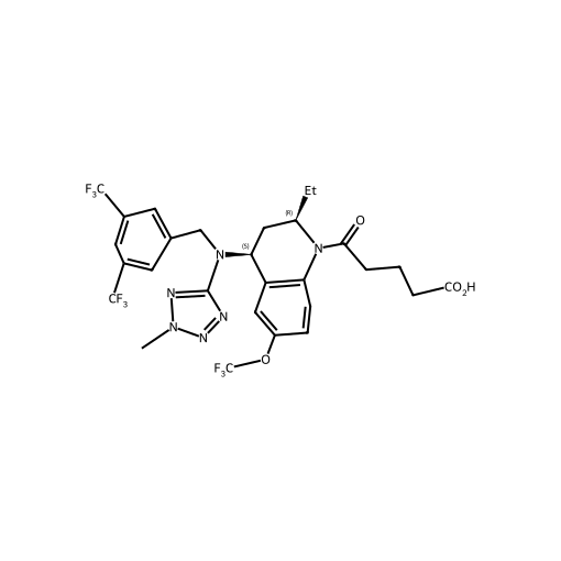 CC[C@@H]1C[C@H](N(Cc2cc(C(F)(F)F)cc(C(F)(F)F)c2)c2nnn(C)n2)c2cc(OC(F)(F)F)ccc2N1C(=O)CCCC(=O)O